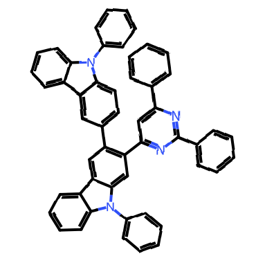 c1ccc(-c2cc(-c3cc4c(cc3-c3ccc5c(c3)c3ccccc3n5-c3ccccc3)c3ccccc3n4-c3ccccc3)nc(-c3ccccc3)n2)cc1